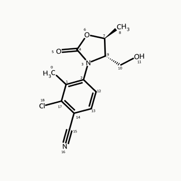 Cc1c(N2C(=O)O[C@@H](C)[C@@H]2CO)ccc(C#N)c1Cl